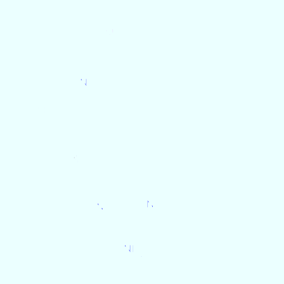 Cc1ccc(-c2nc(N)nc3sc(C(=O)N4CCOCC4)cc23)c(C)c1